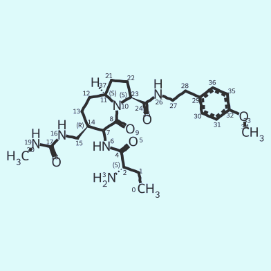 CC[C@H](N)C(=O)NC1C(=O)N2[C@@H](CC[C@@H]1CNC(=O)NC)CC[C@H]2C(=O)NCCc1ccc(OC)cc1